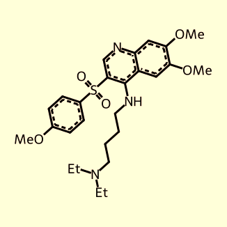 CCN(CC)CCCCNc1c(S(=O)(=O)c2ccc(OC)cc2)cnc2cc(OC)c(OC)cc12